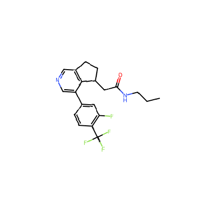 CCCNC(=O)CC1CCc2cncc(-c3ccc(C(F)(F)F)c(F)c3)c21